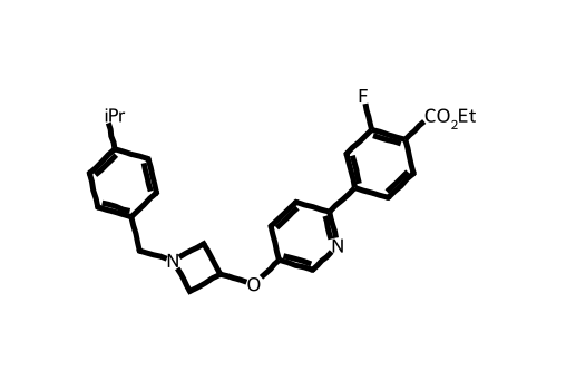 CCOC(=O)c1ccc(-c2ccc(OC3CN(Cc4ccc(C(C)C)cc4)C3)cn2)cc1F